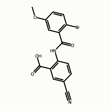 COc1ccc(Br)c(C(=O)Nc2ccc(C#N)cc2C(=O)O)c1